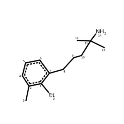 CCc1c(C)cccc1CCCC(C)(C)N